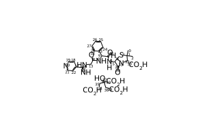 CC1(C)S[C@@H]2[C@H](NC(=O)C(NC(=O)CNC(=N)c3ccncc3)c3ccccc3)C(=O)N2[C@H]1C(=O)O.O=C(O)CC(O)(CC(=O)O)C(=O)O